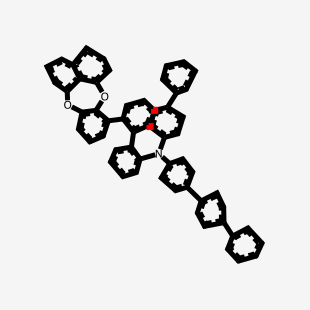 c1ccc(-c2ccc(-c3ccc(N(c4ccc(-c5ccccc5)cc4)c4ccccc4-c4ccccc4-c4cccc5c4Oc4cccc6cccc(c46)O5)cc3)cc2)cc1